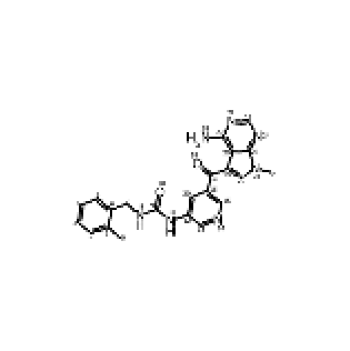 Cc1ccccc1CNC(=O)Nc1cncc(C(=O)c2cn(C)c3ncnc(N)c23)c1